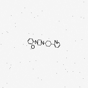 COc1ccccc1N1CCN(C2CCC(c3ccccn3)CC2)CC1